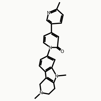 Cc1ccc(-c2ccn(-c3ccc4c5c(n(C)c4c3)CCN(C)C5)c(=O)c2)cn1